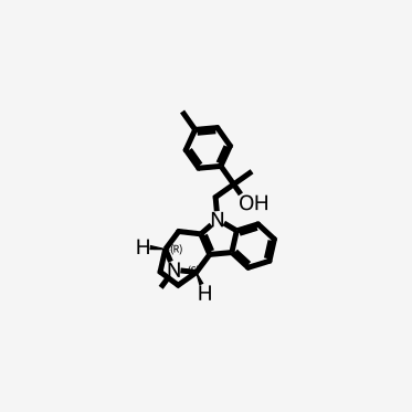 Cc1ccc(C(C)(O)Cn2c3c(c4ccccc42)[C@@H]2CC[C@H](C3)N2C)cc1